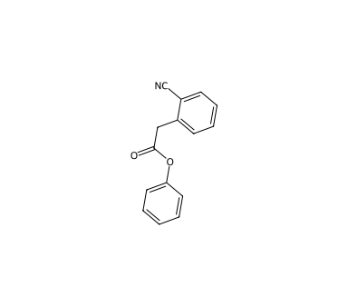 N#Cc1ccccc1CC(=O)Oc1ccccc1